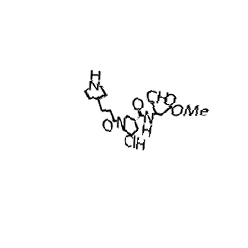 C#CC(CC(=O)OC)NC(=O)[C@@H]1CCCN(C(=O)CCC2CCNCC2)C1.Cl